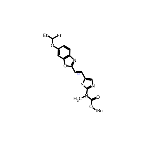 CCC(CC)Oc1ccc2nc(/C=C/c3cnc(N(C)C(=O)OC(C)(C)C)s3)oc2c1